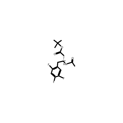 CC(=O)N[C@@H](CC(=O)OC(C)(C)C)Cc1cc(F)c(F)cc1F